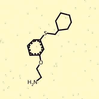 NCCOc1cccc(SCC2CCCCC2)c1